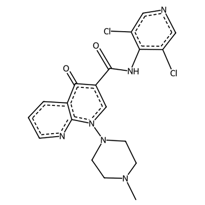 CN1CCN(n2cc(C(=O)Nc3c(Cl)cncc3Cl)c(=O)c3cccnc32)CC1